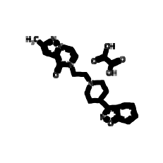 Cc1cc2c(=O)n(CCN3CCC(c4noc5ccccc45)CC3)ccn2n1.O=C(O)C(=O)O